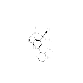 CC1NCCO[C@H]1c1cc(C(C)(C)C#N)c2c(cnn2C)n1